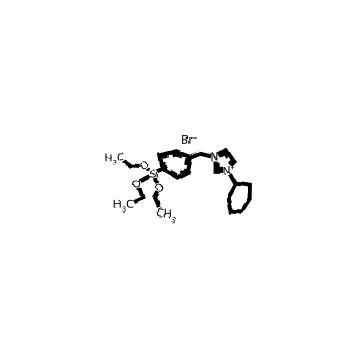 CCO[Si](OCC)(OCC)c1ccc(Cn2cc[n+](C3CCCCC3)c2)cc1.[Br-]